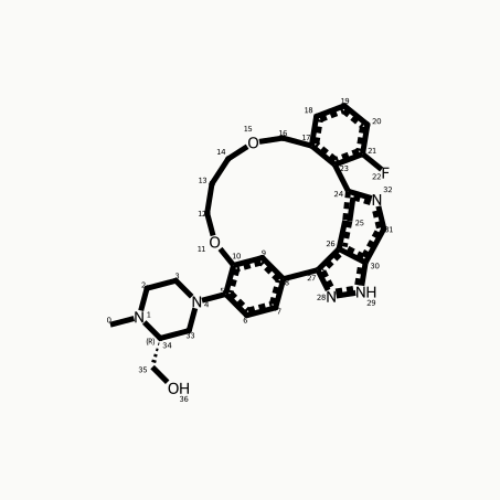 CN1CCN(c2ccc3cc2OCCCOCc2cccc(F)c2-c2cc4c-3n[nH]c4cn2)C[C@@H]1CO